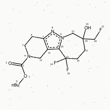 CCCCOC(=O)N1CCc2nn3c(c2C1)C(F)(F)CCC(O)(CF)C3